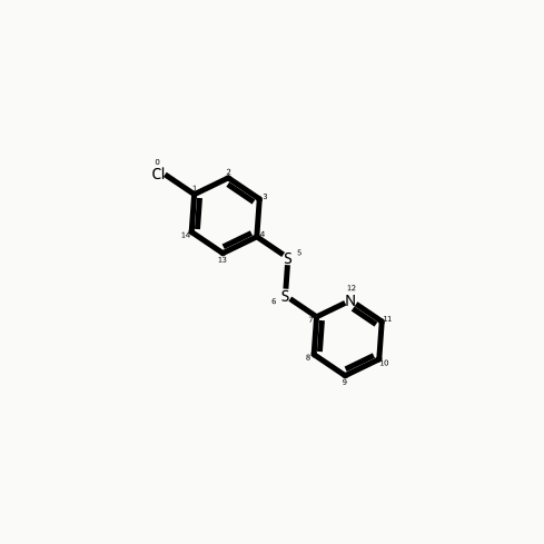 Clc1ccc(SSc2ccccn2)cc1